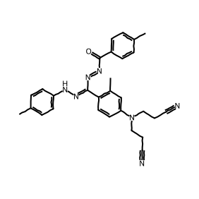 Cc1ccc(NN=C(N=NC(=O)c2ccc(C)cc2)c2ccc(N(CCC#N)CCC#N)cc2C)cc1